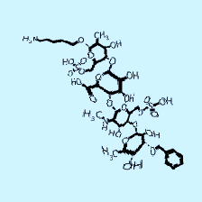 CNC1[C@@H](O[C@@H]2C(C(=O)O)O[C@@H](O[C@@H]3C(COS(=O)(=O)O)O[C@H](OCCCCCN)C(C)[C@H]3O)C(O)[C@H]2O)OC(COS(=O)(=O)O)[C@@H](O[C@@H]2OC(C)[C@@H](O)[C@@H](OCc3ccccc3)C2O)[C@@H]1O